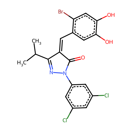 CC(C)C1=NN(c2cc(Cl)cc(Cl)c2)C(=O)C1=Cc1cc(O)c(O)cc1Br